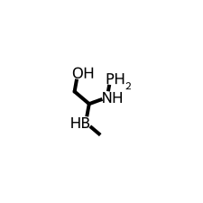 CBC(CO)NP